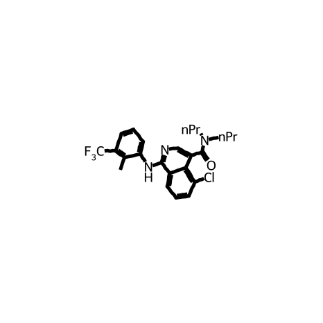 CCCN(CCC)C(=O)c1cnc(Nc2cccc(C(F)(F)F)c2C)c2cccc(Cl)c12